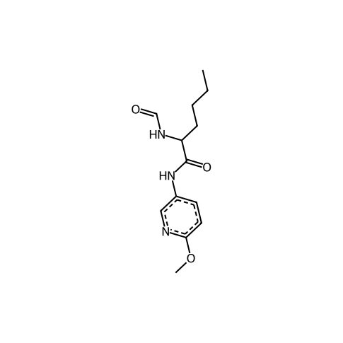 CCCCC(NC=O)C(=O)Nc1ccc(OC)nc1